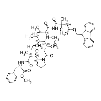 CC[C@H](C)[C@@H]([C@@H](CC(=O)N1CCC[C@H]1[C@H](OC)[C@@H](C)C(=O)N[C@@H](Cc1ccccc1)C(=O)OC)OC)N(C)[C@H](C(=O)NC(=O)C(C)(C)NC(=O)OCC1c2ccccc2-c2ccccc21)C(C)C